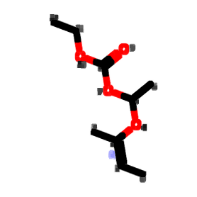 C/C=C(/C)OC(C)OC(=O)OCC